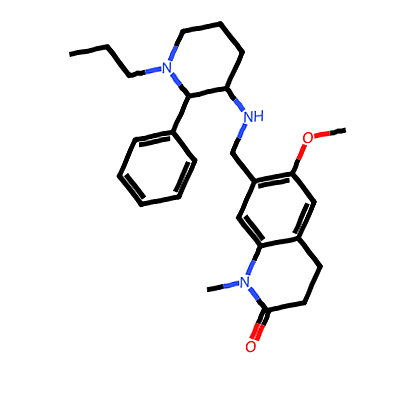 CCCN1CCCC(NCc2cc3c(cc2OC)CCC(=O)N3C)C1c1ccccc1